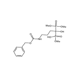 COP(=O)(O)C(O)(CCCNC(=O)OCc1ccccc1)P(=O)(OC)OC